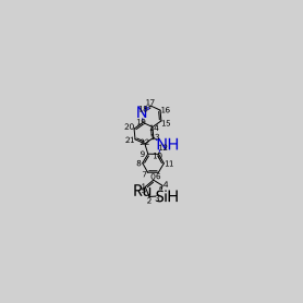 C1=CC[SiH]=C1.[Ru].c1ccc2c(c1)[nH]c1c3cccnc3ccc21